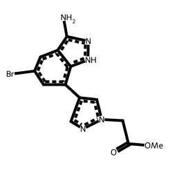 COC(=O)Cn1cc(-c2cc(Br)cc3c(N)n[nH]c23)cn1